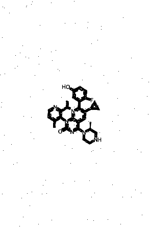 Cc1ccnc(C(C)C)c1-n1c(=O)nc(N2CCNC[C@@H]2C)c2cc(C3CC3)c(-c3cc(O)ccc3F)nc21